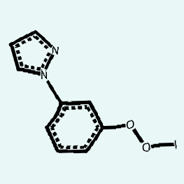 IOOc1cccc(-n2cccn2)c1